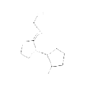 CC/N=C1\SCCN1C1CCCC1O